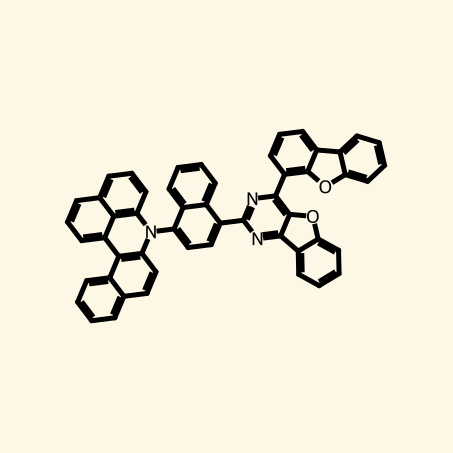 c1ccc2c3c(ccc2c1)N(c1ccc(-c2nc(-c4cccc5c4oc4ccccc45)c4oc5ccccc5c4n2)c2ccccc12)c1cccc2cccc-3c12